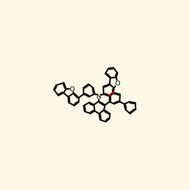 c1ccc(-c2cccc(-c3c(N(c4cccc(-c5cccc6c5oc5ccccc56)c4)c4ccc5oc6ccccc6c5c4)c4ccccc4c4ccccc34)c2)cc1